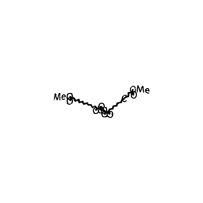 COC(=O)CCCCCCCCCCCC(=O)C(=O)OOC(=O)C(=O)CCCCCCCCCCCC(=O)OC